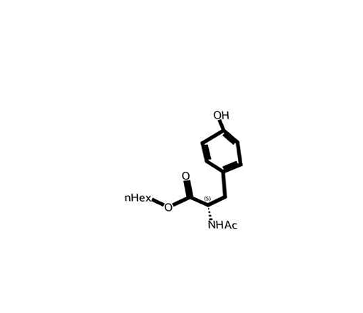 CCCCCCOC(=O)[C@H](Cc1ccc(O)cc1)NC(C)=O